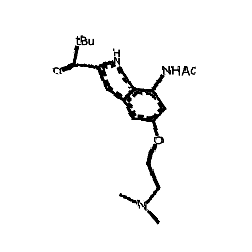 CC(=O)Nc1cc(OCCN(C)C)cc2cc(C(=O)C(C)(C)C)[nH]c12